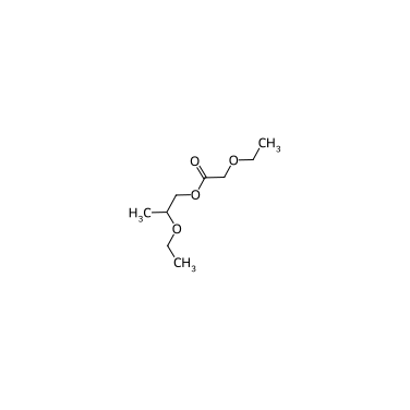 CCOCC(=O)OCC(C)OCC